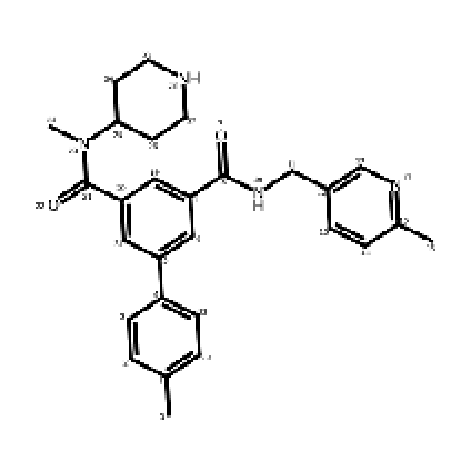 Cc1ccc(-c2cc(C(=O)NCc3ccc(C)nc3)cc(C(=O)N(C)C3CCNCC3)c2)cc1